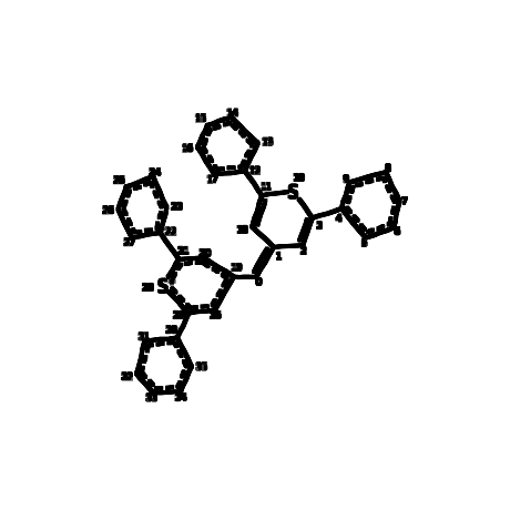 C(=C1C=C(c2ccccc2)SC(c2ccccc2)=C1)c1cc(-c2ccccc2)[s+]c(-c2ccccc2)c1